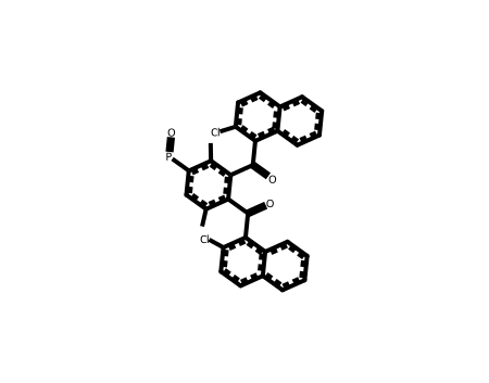 Cc1cc(P=O)c(C)c(C(=O)c2c(Cl)ccc3ccccc23)c1C(=O)c1c(Cl)ccc2ccccc12